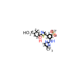 CC1(C)CC(O)(c2ncc(-c3cc(Nc4nccc(C(F)(F)F)n4)cc(S(C)(=O)=O)c3)s2)CCC1C(=O)O